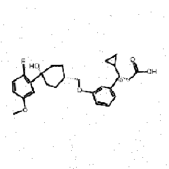 COc1ccc(F)c([C@]2(O)CC[C@@H](COc3cccc([C@@H](CC(=O)O)C4CC4)c3)CC2)c1